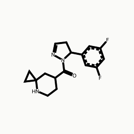 O=C(C1CCNC2(CC2)C1)N1N=CCC1c1cc(F)cc(F)c1